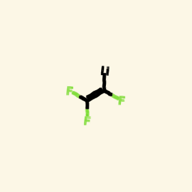 [Li][C](F)=C(F)F